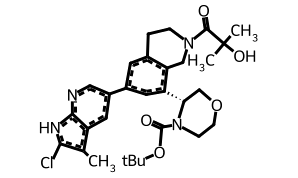 Cc1c(Cl)[nH]c2ncc(-c3cc4c(c([C@@H]5COCCN5C(=O)OC(C)(C)C)c3)CN(C(=O)C(C)(C)O)CC4)cc12